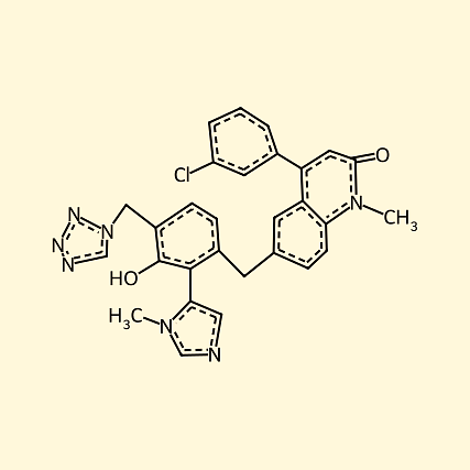 Cn1cncc1-c1c(Cc2ccc3c(c2)c(-c2cccc(Cl)c2)cc(=O)n3C)ccc(Cn2cnnn2)c1O